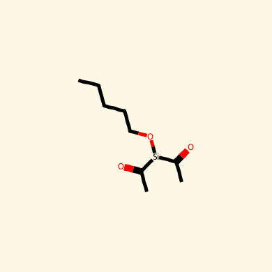 CCCCCO[Si](C(C)=O)C(C)=O